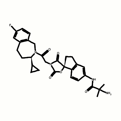 CC(C)(N)C(=O)Nc1ccc2c(c1)CC[C@]21OC(=O)N(CC(=O)N2Cc3ccc(F)cc3CC[C@@H]2C2CC2)C1=O